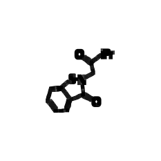 CC(C)C(=O)Cn1sc2ccccc2c1=O